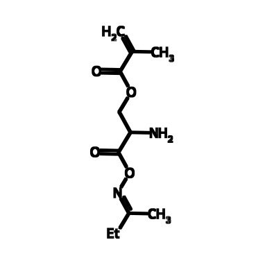 C=C(C)C(=O)OCC(N)C(=O)ON=C(C)CC